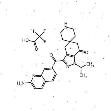 CC(C)n1nc(C(=O)c2ccc3ccc(N)nc3c2)c2c1C(=O)CC1(CCNCC1)C2.O=C(O)C(F)(F)F